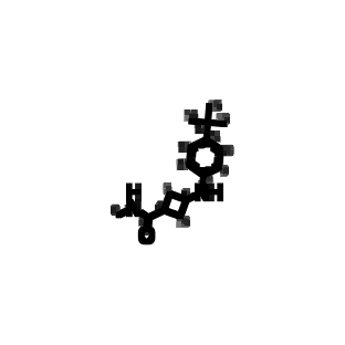 CNC(=O)C1CC(Nc2ccc(C(C)(C)C)cc2)C1